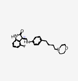 O=C1Nc2cccc(F)c2/C1=C\Nc1ccc(CCCCN2CCOCC2)cc1